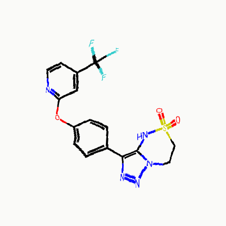 O=S1(=O)CCn2nnc(-c3ccc(Oc4cc(C(F)(F)F)ccn4)cc3)c2N1